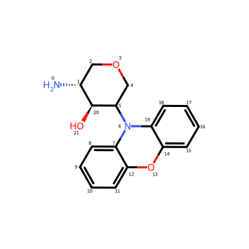 N[C@@H]1COCC(N2c3ccccc3Oc3ccccc32)[C@H]1O